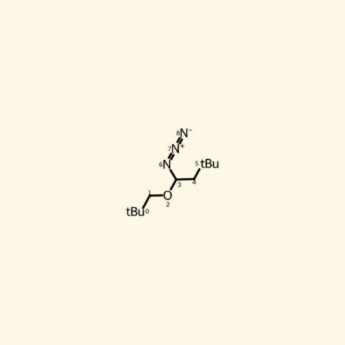 CC(C)(C)COC(CC(C)(C)C)N=[N+]=[N-]